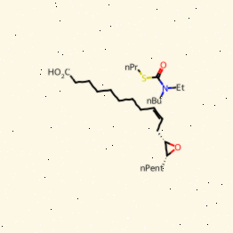 CCCCC[C@H]1O[C@H]1C/C=C\CCCCCCCC(=O)O.CCCCN(CC)C(=O)SCCC